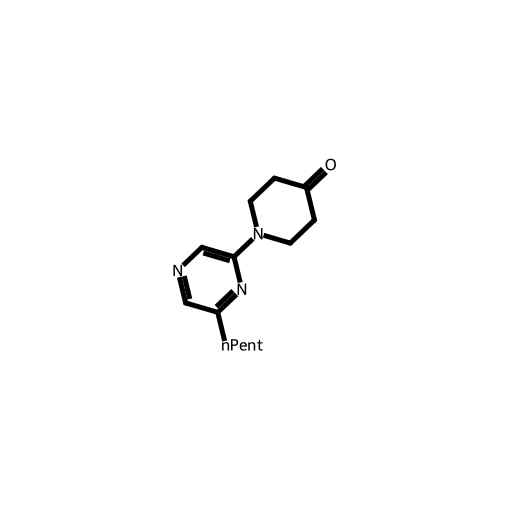 CCCCCc1cncc(N2CCC(=O)CC2)n1